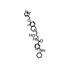 Cc1c(OCc2ccnn2C)ccc2c1CCN(C[C@@H](O)CNC(=O)c1ccnc(NC3CCCCC3)c1)C2